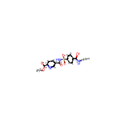 CCCCCCNC(=O)c1ccc(S(=O)(=O)NC(=O)c2ccc(C(=O)OC(C)C)nc2)cc1